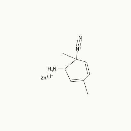 CC1=CC(N)C(C)([N+]#N)C=C1.[Cl-].[Zn]